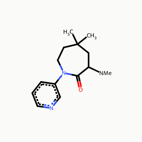 CNC1CC(C)(C)CCN(c2cccnc2)C1=O